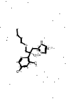 CCCCSC[C@@](O)(Cc1ncc[nH]1)c1ccc(Cl)cc1Cl.Cl